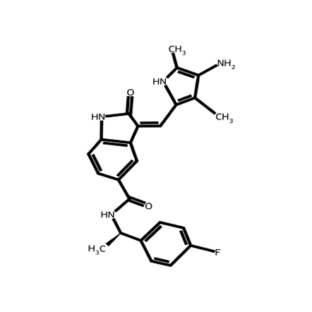 Cc1[nH]c(/C=C2\C(=O)Nc3ccc(C(=O)N[C@H](C)c4ccc(F)cc4)cc32)c(C)c1N